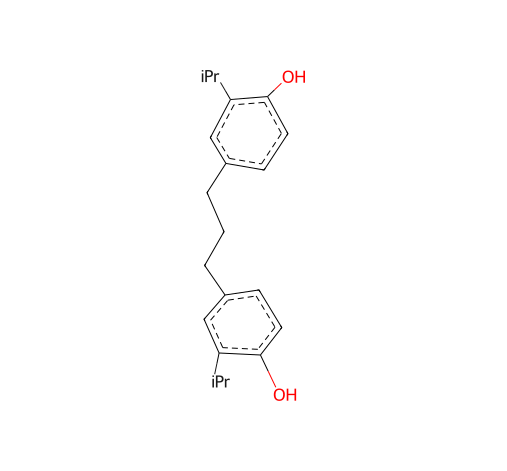 CC(C)c1cc(CCCc2ccc(O)c(C(C)C)c2)ccc1O